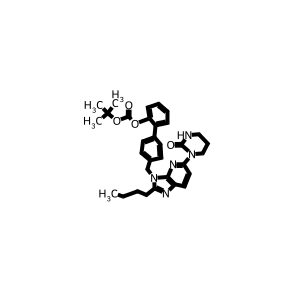 CCCCc1nc2ccc(N3CCCNC3=O)nc2n1Cc1ccc(-c2ccccc2OC(=O)OC(C)(C)C)cc1